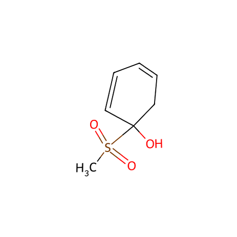 CS(=O)(=O)C1(O)C=CC=CC1